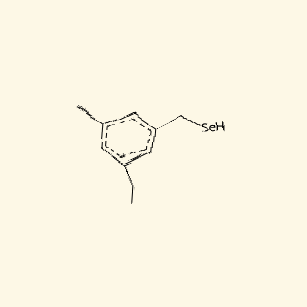 Cc1cc(C)cc(C[SeH])c1